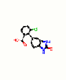 O=C(O)c1cccc(Cl)c1-c1ccc2[nH]c(=O)[nH]c2c1